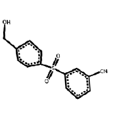 N#Cc1cccc(S(=O)(=O)c2ccc(CO)cc2)c1